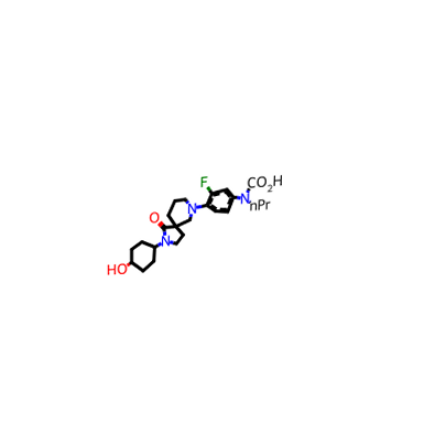 CCCN(C(=O)O)c1ccc(N2CCCC3(CCN(C4CCC(O)CC4)C3=O)C2)c(F)c1